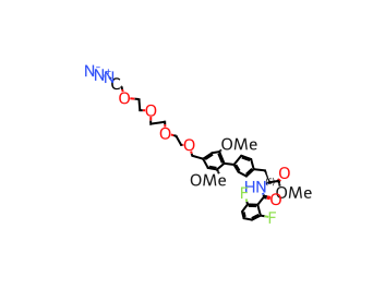 COC(=O)[C@H](Cc1ccc(-c2c(OC)cc(COCCOCCOCCOCCN=[N+]=[N-])cc2OC)cc1)NC(=O)c1c(F)cccc1F